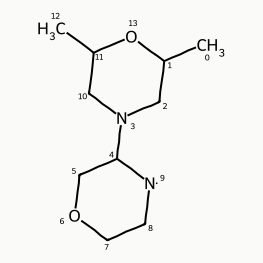 CC1CN(C2COCC[N]2)CC(C)O1